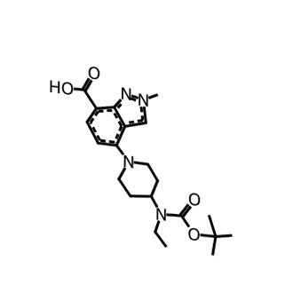 CCN(C(=O)OC(C)(C)C)C1CCN(c2ccc(C(=O)O)c3nn(C)cc23)CC1